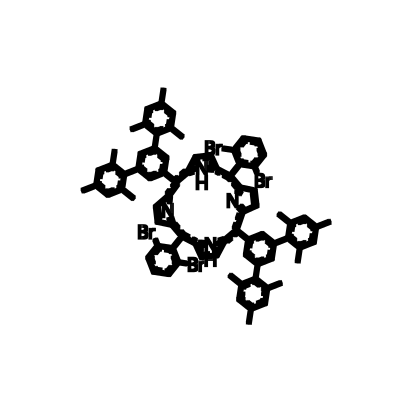 Cc1cc(C)c(-c2cc(-c3c(C)cc(C)cc3C)cc(-c3c4nc(c(-c5c(Br)cccc5Br)c5ccc([nH]5)c(-c5cc(-c6c(C)cc(C)cc6C)cc(-c6c(C)cc(C)cc6C)c5)c5nc(c(-c6c(Br)cccc6Br)c6ccc3[nH]6)C=C5)C=C4)c2)c(C)c1